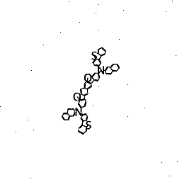 c1ccc2cc(N(c3ccc4c(c3)oc3cc5cc6oc7cc(N(c8ccc9ccccc9c8)c8ccc9sc%10ccccc%10c9c8)ccc7c6cc5cc34)c3ccc4sc5ccccc5c4c3)ccc2c1